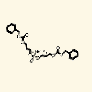 CNP(=O)(OCCCOC(=O)OCc1ccccc1)OCCCOC(=O)OCc1ccccc1